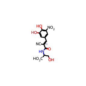 N#C/C(=C\c1cc(O)c(O)c([N+](=O)[O-])c1)C(=O)NC(CO)C(=O)O